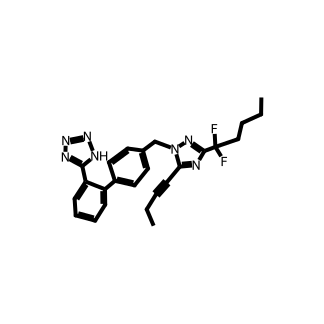 CCC#Cc1nc(C(F)(F)CCCC)nn1Cc1ccc(-c2ccccc2-c2nnn[nH]2)cc1